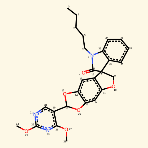 CCCCCN1C(=O)C2(COc3cc4c(cc32)OC(c2cnc(OC)nc2OC)O4)c2ccccc21